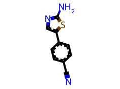 N#Cc1ccc(-c2cnc(N)s2)cc1